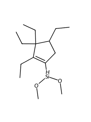 CCC1=C([SiH](OC)OC)CC(CC)C1(CC)CC